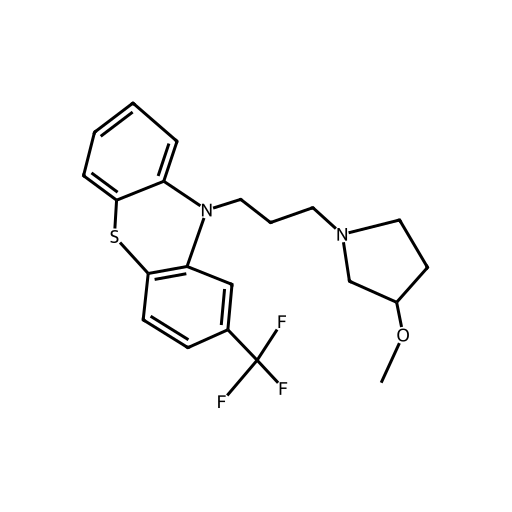 COC1CCN(CCCN2c3ccccc3Sc3ccc(C(F)(F)F)cc32)C1